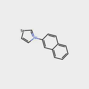 c1ccc2cc(-[n+]3cc[se]c3)ccc2c1